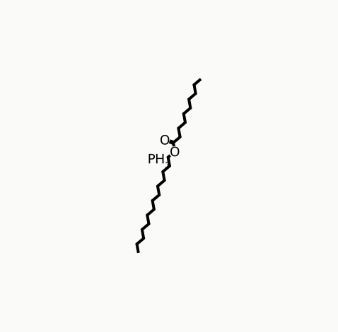 CCCCCCCCCCCCCCOC(=O)CCCCCCCCC.P